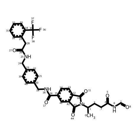 CC(CCC(=O)NC=O)N1C(=O)c2ccc(C(=O)NCc3ccc(CNC(=O)Cc4ccccc4C(F)(F)F)cc3)cc2C1=O